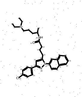 CCN(CC)CCCC(C)NC(=O)CCCc1cc(-c2ccc(Cl)cc2)nn1-c1ccc2ccccc2c1